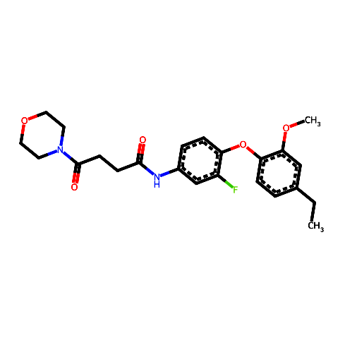 CCc1ccc(Oc2ccc(NC(=O)CCC(=O)N3CCOCC3)cc2F)c(OC)c1